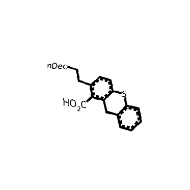 CCCCCCCCCCCCc1ccc2c(c1C(=O)O)Cc1ccccc1S2